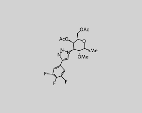 CO[C@@H]1[C@@H](n2cc(-c3cc(F)c(F)c(F)c3)nn2)[C@@H](OC(C)=O)[C@@H](COC(C)=O)O[C@H]1SC